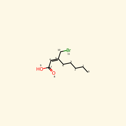 CCCCC/C(=C\C(=O)O)CBr